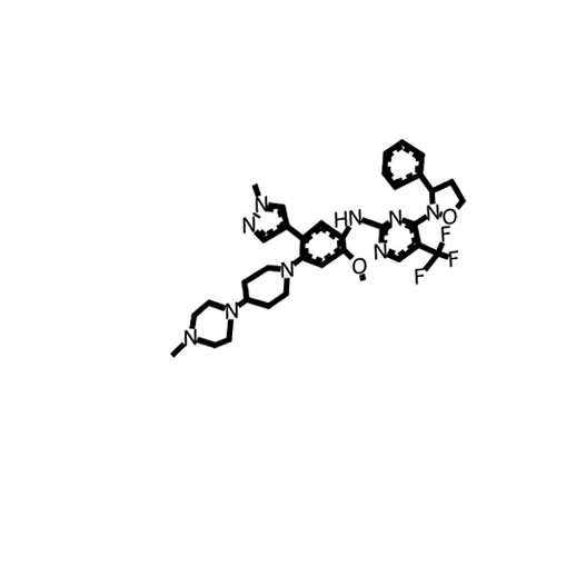 COc1cc(N2CCC(N3CCN(C)CC3)CC2)c(-c2cnn(C)c2)cc1Nc1ncc(C(F)(F)F)c(N2OCCC2c2ccccc2)n1